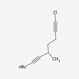 CCCCC#CC(C)CCC#CCl